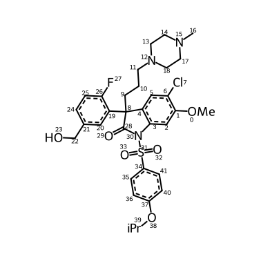 COc1cc2c(cc1Cl)C(CCCN1CCN(C)CC1)(c1cc(CO)ccc1F)C(=O)N2S(=O)(=O)c1ccc(OC(C)C)cc1